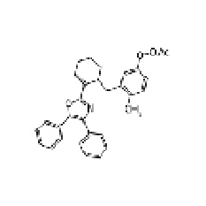 CC(=O)OOc1ccc(C)c(CC2CCCC=C2c2nc(-c3ccccc3)c(-c3ccccc3)o2)c1